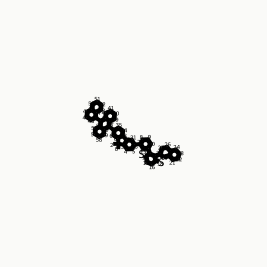 CC1(C)c2ccc(-c3cccc4c3sc3ccc5sc6c7ccccc7ccc6c5c34)cc2-c2ccc(-c3c4ccccc4c(-c4cccc5ccccc45)c4ccccc34)cc21